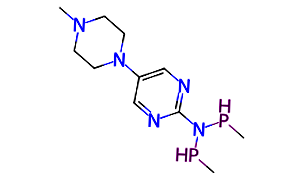 CPN(PC)c1ncc(N2CCN(C)CC2)cn1